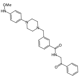 CONc1ccc(N2CCN(Cc3cccc(C(=O)NCC(=O)c4ccccc4)c3)CC2)cc1